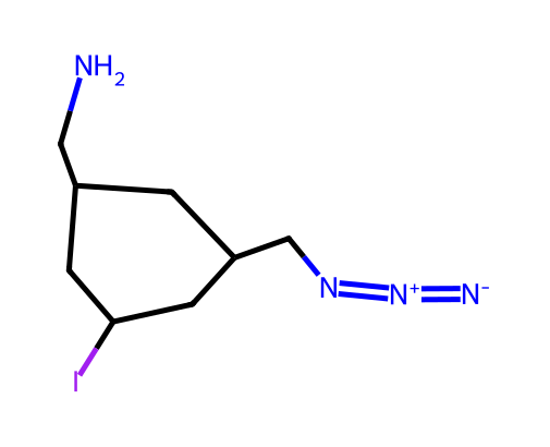 [N-]=[N+]=NCC1CC(I)CC(CN)C1